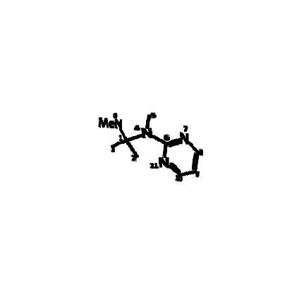 CNC(C)(C)N(C)c1ncccn1